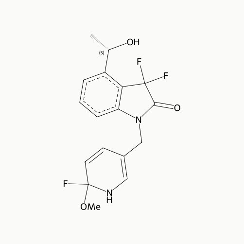 COC1(F)C=CC(CN2C(=O)C(F)(F)c3c([C@H](C)O)cccc32)=CN1